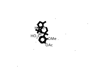 COc1c(OC(C)=O)ccc(C(=O)O)c1C1(C)CC[C@@]23C[C@@H]1C(C)(C)[C@@H]2CCC3C